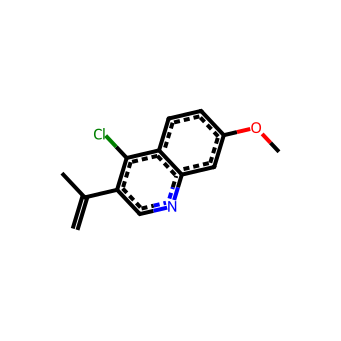 C=C(C)c1cnc2cc(OC)ccc2c1Cl